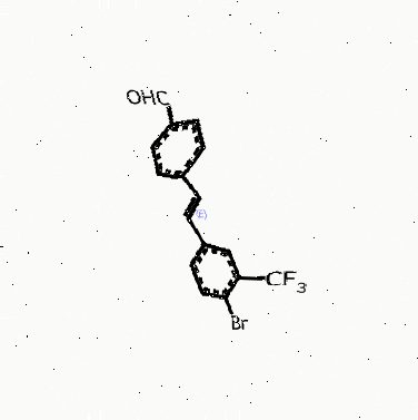 O=Cc1ccc(/C=C/c2ccc(Br)c(C(F)(F)F)c2)cc1